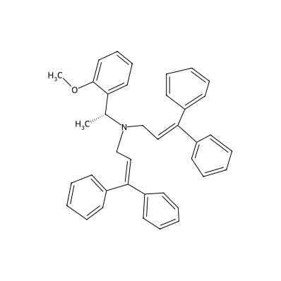 COc1ccccc1[C@@H](C)N(CC=C(c1ccccc1)c1ccccc1)CC=C(c1ccccc1)c1ccccc1